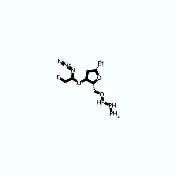 CC[C@H]1CC(OC(CF)N=[N+]=[N-])[C@@H](COPPP)O1